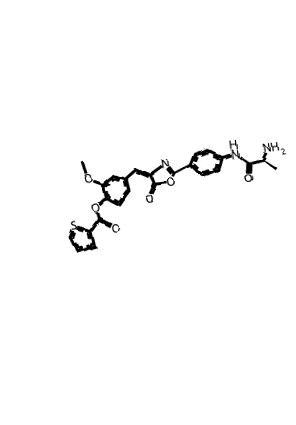 COc1cc(/C=C2/N=C(c3ccc(NC(=O)[C@H](C)N)cc3)OC2=O)ccc1OC(=O)c1cccs1